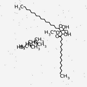 Br.CCCCCCCCCCCCCCCC(=O)C(O)C(OCC)(C(=O)O)C(=O)CCCCCCCCCCCCCCC.CN(C)C.CN(C)C